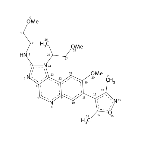 COCCNc1nc2cnc3cc(-c4c(C)noc4C)c(OC)cc3c2n1C(C)COC